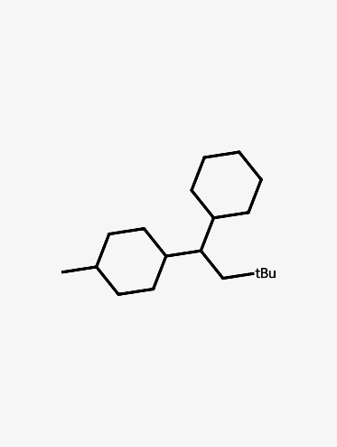 CC1CCC(C(CC(C)(C)C)C2CCCCC2)CC1